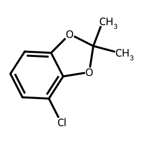 CC1(C)Oc2cccc(Cl)c2O1